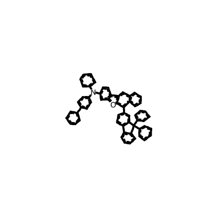 c1ccc(-c2ccc(N(c3ccccc3)c3ccc4c(c3)oc3c(-c5ccc6c(c5)C(c5ccccc5)(c5ccccc5)c5ccccc5-6)c5ccccc5cc34)cc2)cc1